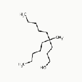 [CH2]C(CCCO)(CCCCC)CCCCC